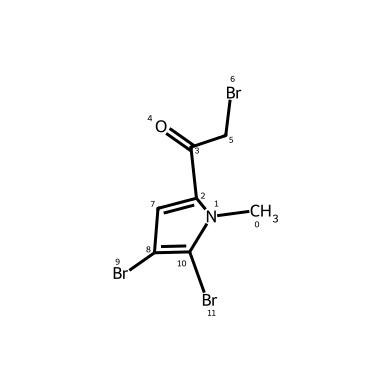 Cn1c(C(=O)CBr)cc(Br)c1Br